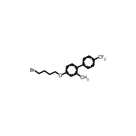 Cc1cc(OCCCCBr)ccc1-c1ccc(C(F)(F)F)cc1